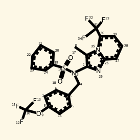 Cc1c(N(Cc2ccc(OC(F)(F)F)cc2)S(=O)(=O)c2ccccc2)nc2cccc(C(F)(F)F)n12